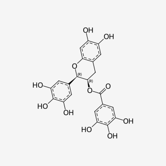 O=C(O[C@@H]1Cc2cc(O)c(O)cc2O[C@@H]1c1cc(O)c(O)c(O)c1)c1cc(O)c(O)c(O)c1